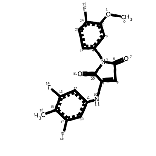 COc1cc(N2C(=O)C=C(Nc3cc(F)c(C)c(F)c3)C2=O)ccc1F